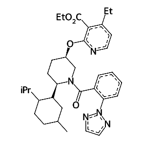 CCOC(=O)c1c(CC)ccnc1O[C@@H]1CC[C@H](C2CC(C)CCC2C(C)C)N(C(=O)c2ccccc2-n2nccn2)C1